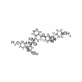 Cc1ccc(-n2nc(C(C)(C)C)cc2NC(=O)N[C@H]2CC[C@@H](Oc3ccc4nnc(CC5CCN(C)CC5)n4c3)c3ccccc32)cc1